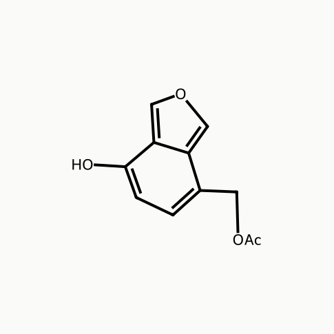 CC(=O)OCc1ccc(O)c2cocc12